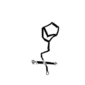 CC(C)[Si](Cl)(CCC1CC2C=CC1C2)C(C)C